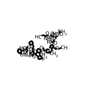 C#CCOCc1cc(NC(=O)[C@H](CCCNC(N)=O)NC(=O)[C@@H](NC(=O)[C@@H](N)CC#C)C(C)C)ccc1C[N+]1(C)CCN(CCOc2ccc(-c3c(-c4ccc(F)cc4)sc4ncnc(O[C@H](Cc5ccccc5OCc5ccnc(-c6ccccc6OC)n5)C(=O)O)c34)c(C)c2Cl)CC1